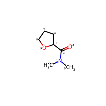 CN(C)C(=O)C1CCCO1